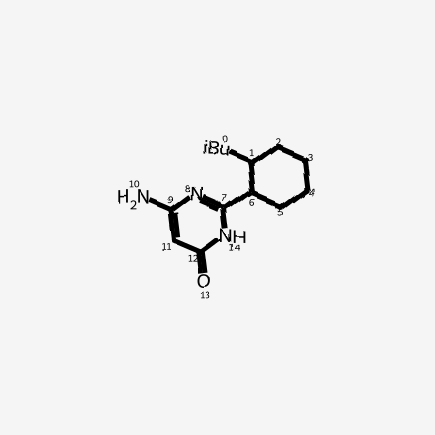 CCC(C)C1CCCCC1c1nc(N)cc(=O)[nH]1